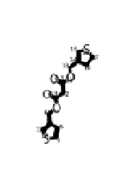 O=C(CC(=O)OCc1ccsc1)OCC1=CSCC1